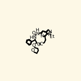 CCn1ncc2cc3nc(c21)CCCOC(OC1CCCCO1)C(c1ccccc1)NC(=O)N3